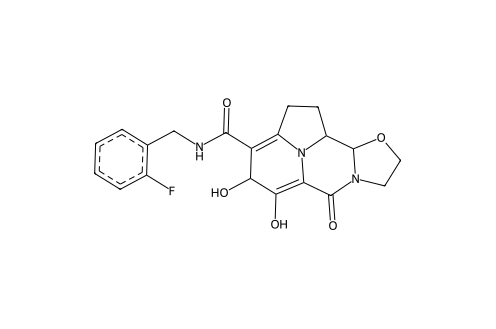 O=C(NCc1ccccc1F)C1=C2CCC3C4OCCN4C(=O)C(=C(O)C1O)N23